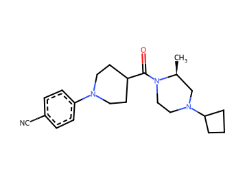 C[C@H]1CN(C2CCC2)CCN1C(=O)C1CCN(c2ccc(C#N)cc2)CC1